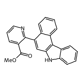 COC(=O)c1cccnc1-c1cc2[nH]c3ccccc3c2c2ccccc12